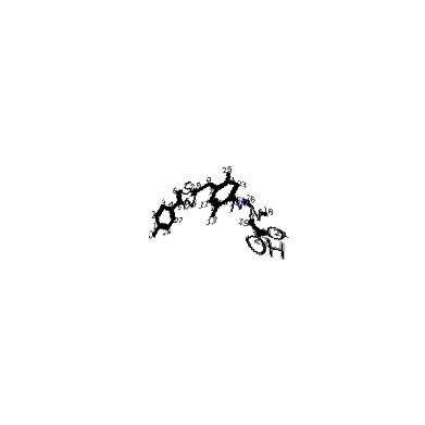 Cc1ccc(-c2csc(Cc3cc(C)c(/N=C/N(C)CC(=O)O)cc3C)n2)cc1